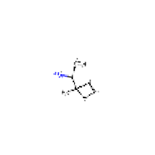 CC1([C@@H](N)C(=O)O)CCC1